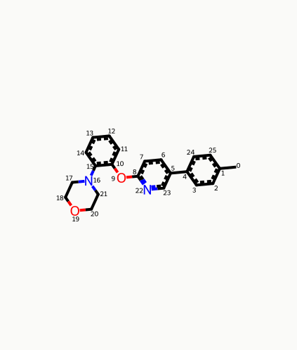 Cc1ccc(-c2ccc(Oc3ccccc3N3CCOCC3)nc2)cc1